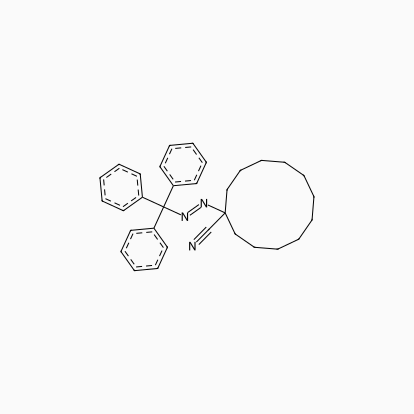 N#CC1(N=NC(c2ccccc2)(c2ccccc2)c2ccccc2)CCCCCCCCCCC1